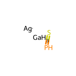 P=S.[Ag].[GaH3]